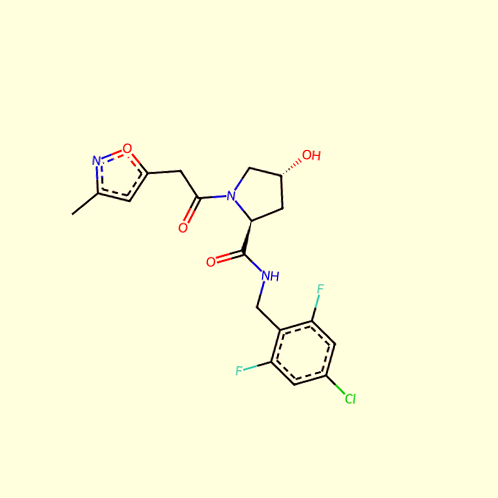 Cc1cc(CC(=O)N2C[C@H](O)C[C@H]2C(=O)NCc2c(F)cc(Cl)cc2F)on1